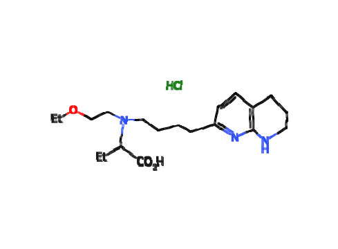 CCOCCN(CCCCc1ccc2c(n1)NCCC2)C(CC)C(=O)O.Cl